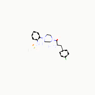 CS(=O)(=O)Nc1ccccc1N1CCN(C(=O)[C@@H](N)Cc2ccc(Cl)cc2)CC1